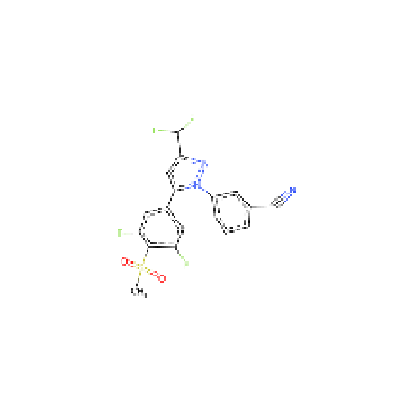 CS(=O)(=O)c1c(F)cc(-c2cc(C(F)F)nn2-c2cccc(C#N)c2)cc1F